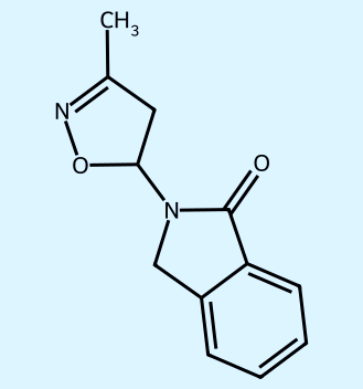 CC1=NOC(N2Cc3ccccc3C2=O)C1